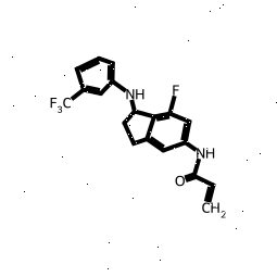 C=CC(=O)Nc1cc(F)c2c(c1)CCC2Nc1cccc(C(F)(F)F)c1